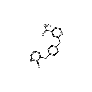 COC(=O)c1ccnc(Cc2ccc(Cc3ccc[nH]c3=O)cc2)c1